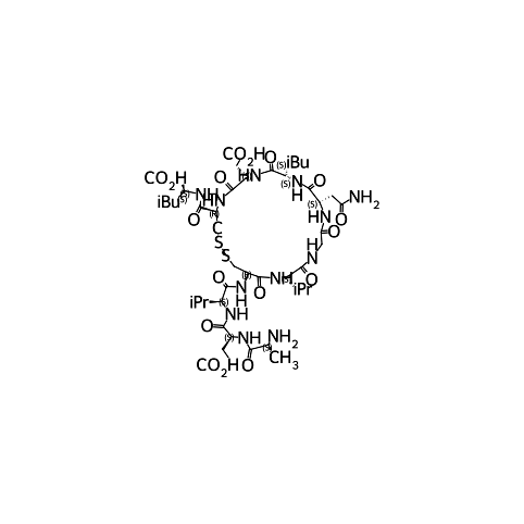 CC[C@H](C)[C@H](NC(=O)[C@@H]1CSSC[C@H](NC(=O)[C@@H](NC(=O)[C@H](CC(=O)O)NC(=O)[C@H](C)N)C(C)C)C(=O)N[C@@H](C(C)C)C(=O)NCC(=O)N[C@@H](CC(N)=O)C(=O)N[C@@H]([C@@H](C)CC)C(=O)N[C@@H](CC(=O)O)C(=O)N1)C(=O)O